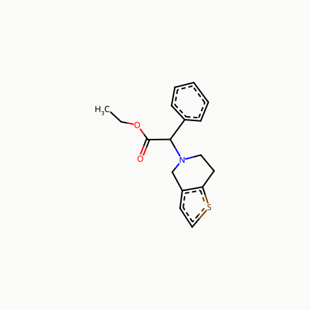 CCOC(=O)C(c1ccccc1)N1CCc2sccc2C1